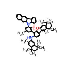 Cc1cc(-c2c(Nc3cc4c(cc3C)C(C)(C)CCC4(C)C)ccc3c2oc2cc4c(cc23)C(C)(C)CCC4(C)C)c2c(c1)-n1c3cc4ccccc4cc3c3cccc(c31)B2